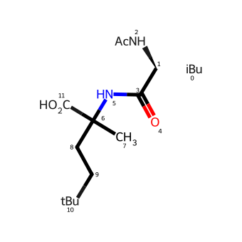 CC[C@H](C)[C@H](NC(C)=O)C(=O)NC(C)(CCC(C)(C)C)C(=O)O